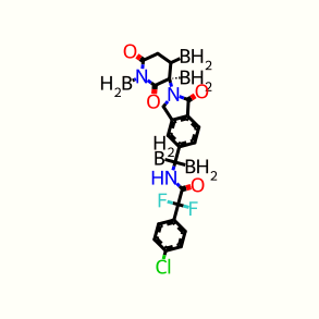 BC1CC(=O)N(B)C(=O)[C@]1(B)N1Cc2cc(C(B)(B)NC(=O)C(F)(F)c3ccc(Cl)cc3)ccc2C1=O